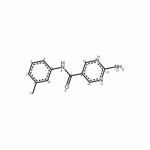 Cc1cccc(NC(=O)c2cnc(N)nc2)c1